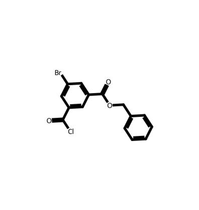 O=C(Cl)c1cc(Br)cc(C(=O)OCc2ccccc2)c1